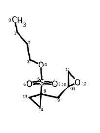 CCCCOS(=O)(=O)C1(C[C@H]2CO2)CC1